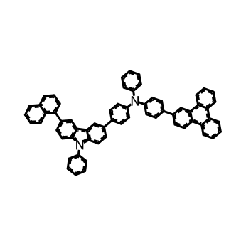 c1ccc(N(c2ccc(-c3ccc4c5ccccc5c5ccccc5c4c3)cc2)c2ccc(-c3ccc4c(c3)c3cc(-c5cccc6ccccc56)ccc3n4-c3ccccc3)cc2)cc1